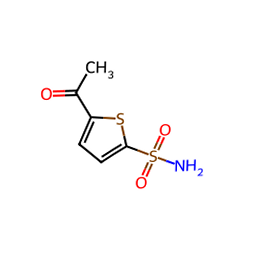 CC(=O)c1ccc(S(N)(=O)=O)s1